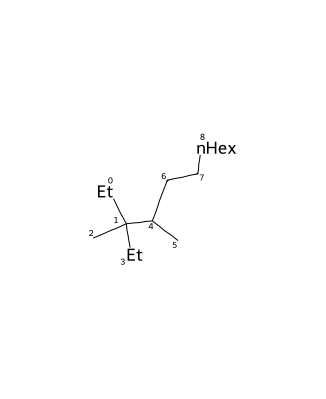 [CH2]CC(C)(CC)C(C)CCCCCCCC